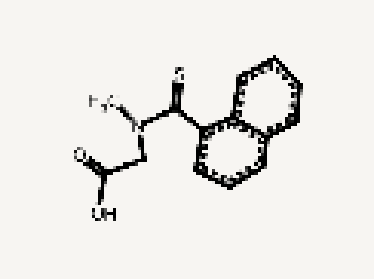 CN(CC(=O)O)C(=S)c1cccc2ccccc12